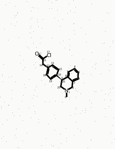 CN1Cc2ccccc2[C@H](c2ccc(CC(=O)Cl)cc2)C1